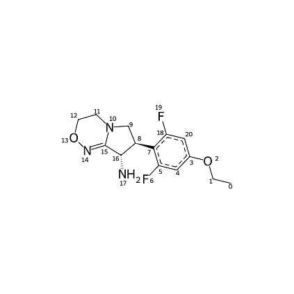 CCOc1cc(F)c([C@@H]2CN3CCON=C3[C@H]2N)c(F)c1